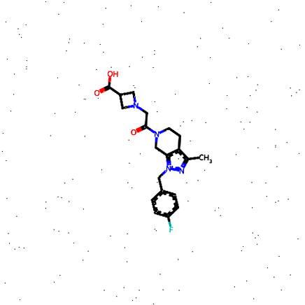 Cc1nn(Cc2ccc(F)cc2)c2c1CCN(C(=O)CN1CC(C(=O)O)C1)C2